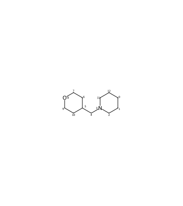 C1CCN(CC2CCOCC2)CC1